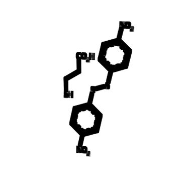 O=C(O)CCS.O=[N+]([O-])c1ccc(SSc2ccc([N+](=O)[O-])cc2)cc1